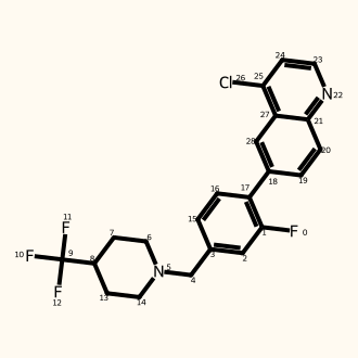 Fc1cc(CN2CCC(C(F)(F)F)CC2)ccc1-c1ccc2nccc(Cl)c2c1